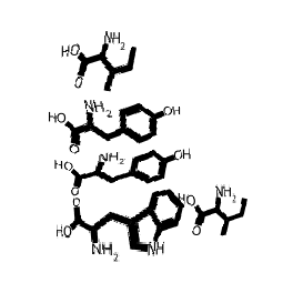 CCC(C)C(N)C(=O)O.CCC(C)C(N)C(=O)O.NC(Cc1c[nH]c2ccccc12)C(=O)O.NC(Cc1ccc(O)cc1)C(=O)O.NC(Cc1ccc(O)cc1)C(=O)O